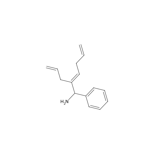 C=CCC=C(CC=C)C(N)c1ccccc1